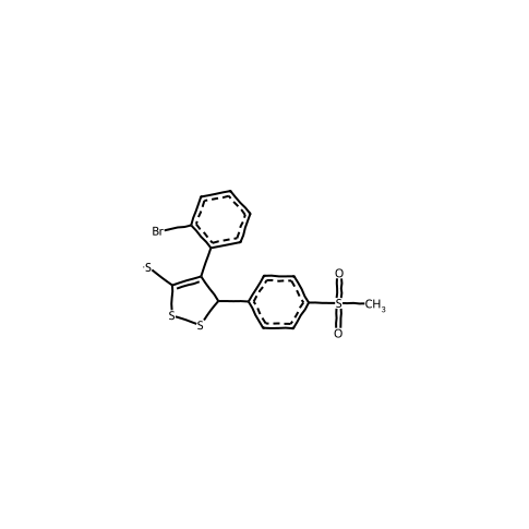 CS(=O)(=O)c1ccc(C2SSC([S])=C2c2ccccc2Br)cc1